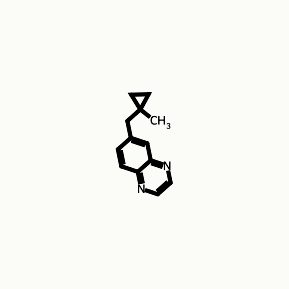 CC1(Cc2ccc3nccnc3c2)CC1